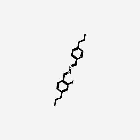 CCCc1ccc(/C=N/N=C/c2ccc(CCC)cc2F)cc1